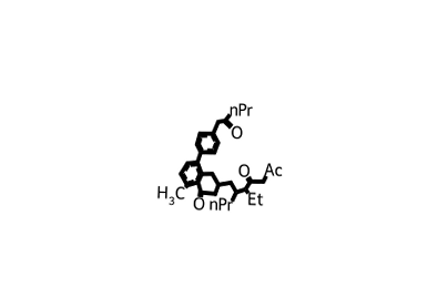 CCCC(=O)Cc1ccc(-c2ccc(C)c3c2CC(CC(CCC)C(CC)C(=O)CC(C)=O)CC3=O)cc1